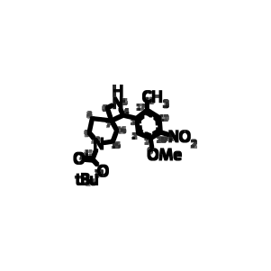 COc1cc(C2NCC23CCN(C(=O)OC(C)(C)C)CC3)c(C)cc1[N+](=O)[O-]